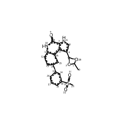 CC1OC(c2c[nH]c3c(=O)[nH]c4ccc(-c5cccc(S(C)(=O)=O)c5)cc4c23)O1